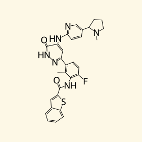 Cc1c(-c2cc(Nc3ccc(C4CCCN4C)cn3)c(=O)[nH]n2)ccc(F)c1NC(=O)c1cc2ccccc2s1